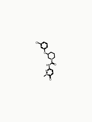 Cn1nc(NC(=O)N2CCCC(Oc3cccc(Cl)c3)C2)ccc1=O